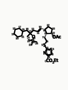 CCOC(=O)c1csc(SCC[C@@H]2[C@H](/C=C/CC(C)(CC3CCCCC3)O[Si](C)(C)C)CC[C@@H]2OC(C)=O)n1